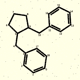 c1ccc(C[C]2CCCC2Cc2ccccc2)cc1